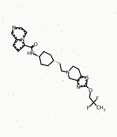 CC(F)(F)COc1nc2c(s1)CCN(CC[C@H]1CC[C@H](NC(=O)c3ccc4cnccn34)CC1)C2